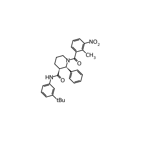 Cc1c(C(=O)N2CCC[C@H](C(=O)Nc3cccc(C(C)(C)C)c3)[C@@H]2c2ccccc2)cccc1[N+](=O)[O-]